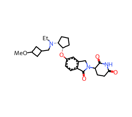 CCN(CC1CC(OC)C1)[C@@H]1CCC[C@@H]1Oc1ccc2c(c1)CN(C1CCC(=O)NC1=O)C2=O